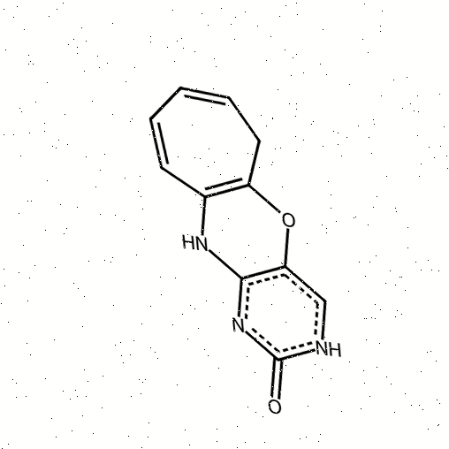 O=c1nc2c(c[nH]1)OC1=C(C=CC=CC1)N2